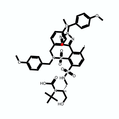 COc1ccc(CN(Cc2ccc(OC)cc2)S(=O)(=O)c2c(S(=O)(=O)NC[C@H](CO)N(C(=O)O)C(C)(C)C)ccc(I)c2-c2nnn(Cc3ccc(OC)cc3)n2)cc1